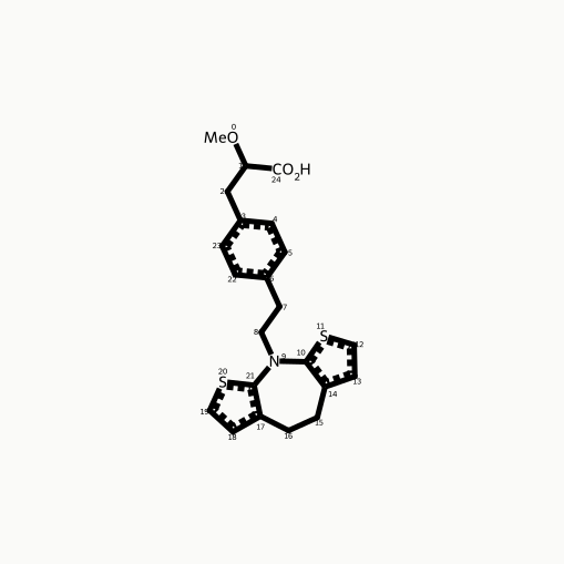 COC(Cc1ccc(CCN2c3sccc3CCc3ccsc32)cc1)C(=O)O